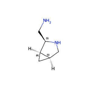 NC[C@H]1NC[C@H]2C[C@H]21